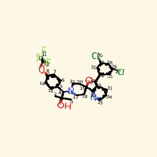 CC(C)(O)C(c1ccc(OC(F)(F)F)cc1)N1CCC2(CC1)OC(c1cc(Cl)cc(Cl)c1)c1cccnc12